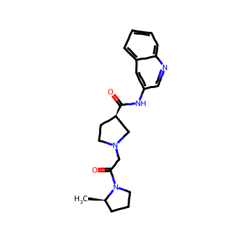 C[C@@H]1CCCN1C(=O)CN1CC[C@@H](C(=O)Nc2cnc3ccccc3c2)C1